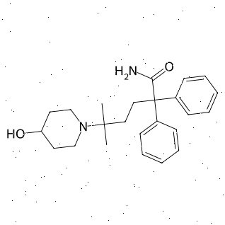 CC(C)(CCC(C(N)=O)(c1ccccc1)c1ccccc1)N1CCC(O)CC1